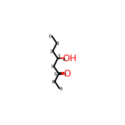 CCCC(O)CC(=O)CC